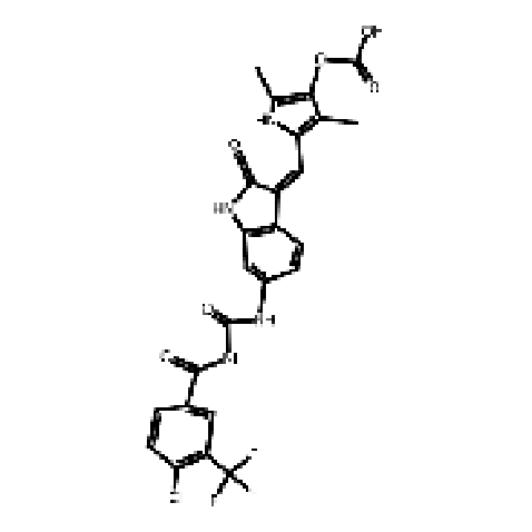 Cc1[nH]c(/C=C2\C(=O)Nc3cc(NC(=O)NC(=O)c4ccc(Cl)c(C(F)(F)F)c4)ccc32)c(C)c1OC(=O)O